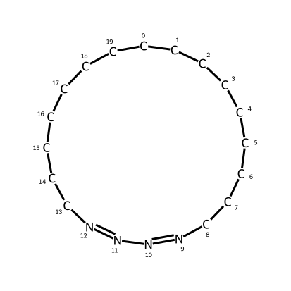 C1CCCCCCCCN=NN=NCCCCCCC1